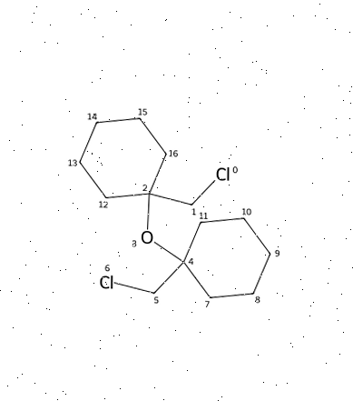 ClCC1(OC2(CCl)CCCCC2)CCCCC1